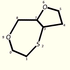 C1CSC2CCOC2CO1